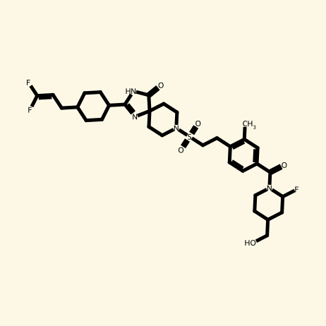 Cc1cc(C(=O)N2CCC(CO)CC2F)ccc1CCS(=O)(=O)N1CCC2(CC1)N=C(C1CCC(CC=C(F)F)CC1)NC2=O